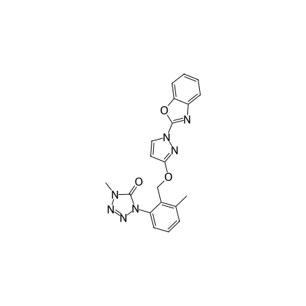 Cc1cccc(-n2nnn(C)c2=O)c1COc1ccn(-c2nc3ccccc3o2)n1